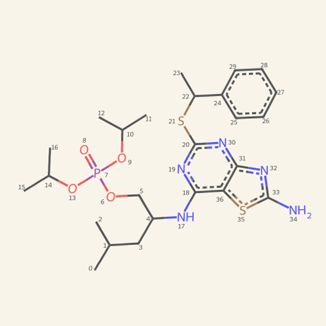 CC(C)CC(COP(=O)(OC(C)C)OC(C)C)Nc1nc(SC(C)c2ccccc2)nc2nc(N)sc12